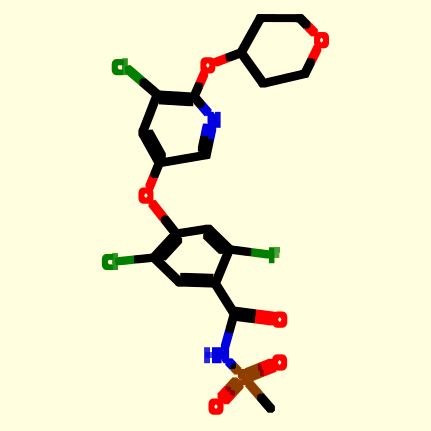 CS(=O)(=O)NC(=O)c1cc(Cl)c(Oc2cnc(OC3CCOCC3)c(Cl)c2)cc1F